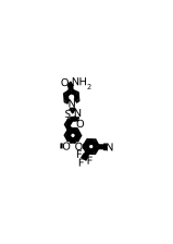 COc1cc(C=C2SC(N3CCC(C(N)=O)CC3)=NC2=O)ccc1Oc1ccc(C#N)cc1C(F)(F)F